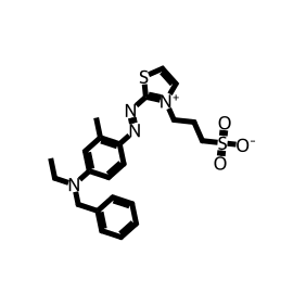 CCN(Cc1ccccc1)c1ccc(/N=N/c2scc[n+]2CCCS(=O)(=O)[O-])c(C)c1